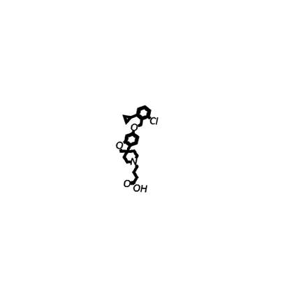 O=C(O)CCCN1CCC2(CC1)COc1cc(OCc3c(Cl)cccc3C3CC3)ccc12